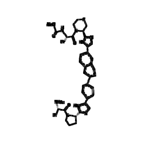 COC(=O)N[C@H](C(=O)N1CCSC[C@H]1c1ncc(-c2ccc3cc(-c4ccc(-c5cnc([C@@H]6CCCN6C(=O)[C@@H](NC(C)=O)C(C)C)[nH]5)cc4)ccc3c2)[nH]1)C(C)C